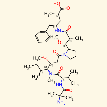 CC[C@H](C)[C@@H]([C@@H](CC(=O)N1CCCC1[C@H](OC)[C@@H](C)C(=O)N[C@@H](Cc1ccccc1)C[C@H](C)C(=O)O)OC)N(C)C(=O)[C@@H](NC(=O)C(C)(C)N)C(C)C